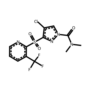 CN(C)C(=O)n1cc(Cl)c(S(=O)(=O)c2ncccc2C(F)(F)F)n1